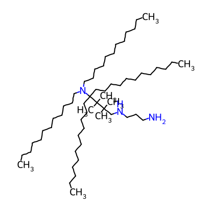 CCCCCCCCCCCCN(CCCCCCCCCCCC)C(CCCCCCCCCCCC)(CCCCCCCCCCCC)C(C)(C)C(C)(C)CNCCCN